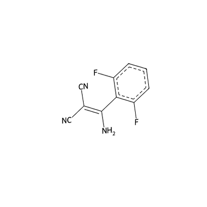 N#CC(C#N)=C(N)c1c(F)cccc1F